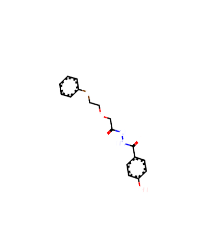 O=C(COCCSc1ccccc1)NNC(=O)c1ccc(O)cc1